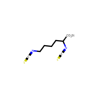 CCOC(=O)C(CCCCN=C=S)N=C=S